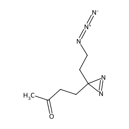 CC(=O)CCC1(CCN=[N+]=[N-])N=N1